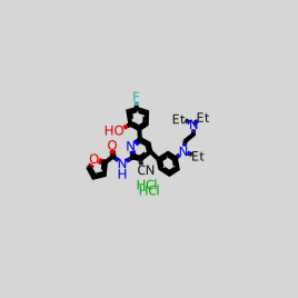 CCN(CC)CCN(CC)c1cccc(-c2cc(-c3ccc(F)cc3O)nc(NC(=O)c3ccco3)c2C#N)c1.Cl.Cl